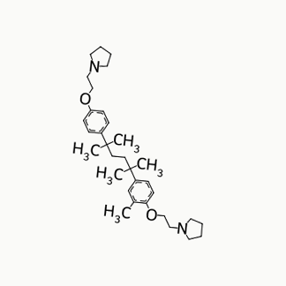 Cc1cc(C(C)(C)CCC(C)(C)c2ccc(OCCN3CCCC3)cc2)ccc1OCCN1CCCC1